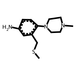 CSCc1cc(N)ccc1N1CCN(C)CC1